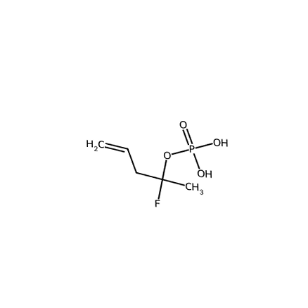 C=CCC(C)(F)OP(=O)(O)O